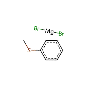 CSc1c[c]ccc1.[Br][Mg][Br]